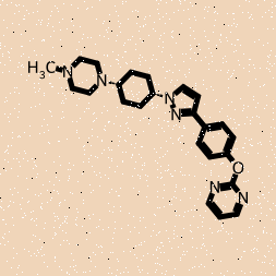 CN1CCN([C@H]2CC[C@@H](n3ccc(-c4ccc(Oc5ncccn5)cc4)n3)CC2)CC1